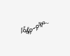 CCCCOc1cnc(-c2ccc(C#Cc3cc(F)c(C(F)(F)Oc4cc(F)c(F)c(F)c4)c(F)c3)c(F)c2)nc1